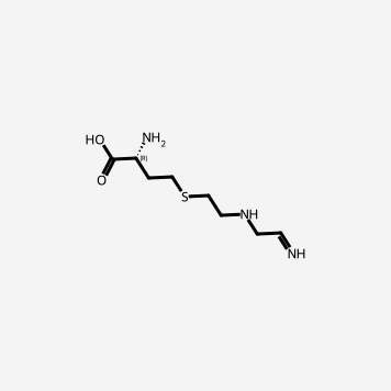 N=CCNCCSCC[C@@H](N)C(=O)O